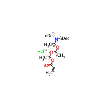 C=CC(=O)OC(C)OC(C)OC(C)N(CCCCCCCCCC)CCCCCCCCCC.Cl